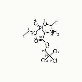 CCOP(=O)(OCC)C(N)C(=O)OCC(Cl)(Cl)Cl